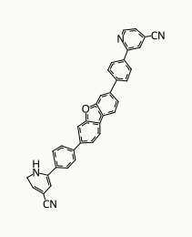 N#CC1=CCNC(c2ccc(-c3ccc4c(c3)oc3cc(-c5ccc(-c6cc(C#N)ccn6)cc5)ccc34)cc2)=C1